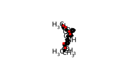 CN1CCN(C(=O)Oc2cc3c(c4ccccc24)CCN3C(=O)C2Cc3c(ccc4c3CCN4C(=O)OC(C)(C)C)N2)CC1